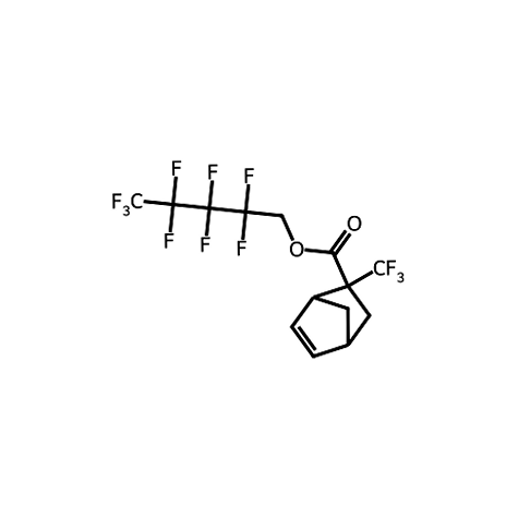 O=C(OCC(F)(F)C(F)(F)C(F)(F)C(F)(F)F)C1(C(F)(F)F)CC2C=CC1C2